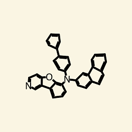 c1ccc(-c2ccc(N(c3ccc4ccc5ccccc5c4c3)c3cccc4c3oc3ccncc34)cc2)cc1